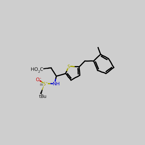 Cc1ccccc1Cc1ccc(C(CC(=O)O)N[S@+]([O-])C(C)(C)C)s1